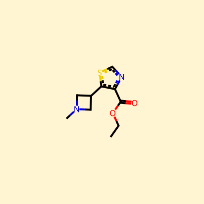 CCOC(=O)c1ncsc1C1CN(C)C1